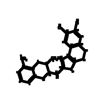 O=C(O)C1Cc2c(cccc2[N+](=O)[O-])CN1Nc1nc2c(s1)CCc1cc(Cl)c(Cl)cc1-2